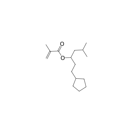 C=C(C)C(=O)OC(CCC1CCCC1)CC(C)C